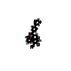 Cc1nc(-c2ccc(-c3cncnc3)cc2)c2c(n1)[C@@]1(c3ccccc3)CC(C#N)C(=O)[C@@H](C)[C@@H]1CC2